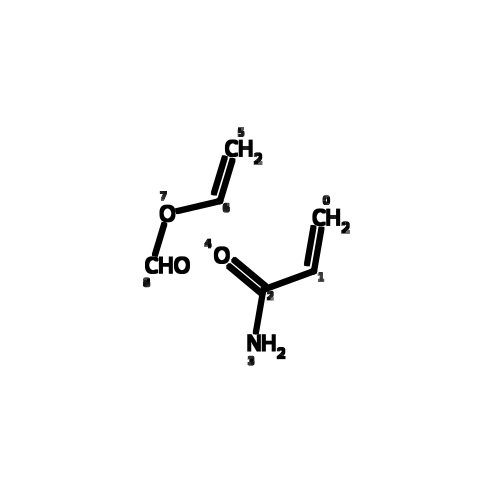 C=CC(N)=O.C=COC=O